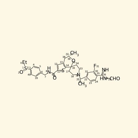 CC[S+]([O-])c1ccc(CNC(=O)c2cc3c(s2)C2(CCN(C(C)c4ccc(C(=N)NC=O)c(F)c4)CC2)O[C@@H](C)C3)cc1